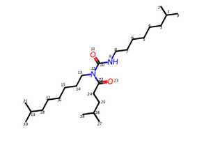 CC(C)CCCCCCNC(=O)N(CCCCCCC(C)C)C(=O)CCC(C)C